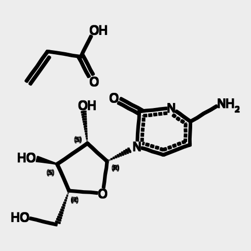 C=CC(=O)O.Nc1ccn([C@@H]2O[C@H](CO)[C@@H](O)[C@@H]2O)c(=O)n1